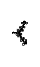 CCCCC(=O)NC(CC(=O)NCCNC(=O)CCN1C(=O)C=CC1=O)CC(=O)NCCNC(=O)CCN1C(=O)C=CC1=O